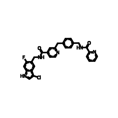 O=C(NCc1cc2c(Cl)c[nH]c2cc1F)c1ccnc(Cc2ccc(CNC(=O)c3ccccn3)cc2)c1